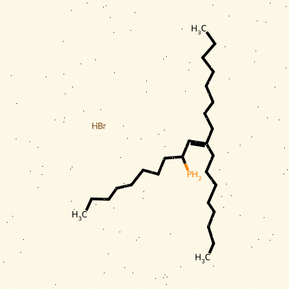 Br.CCCCCCCCC(=CC(P)CCCCCCCC)CCCCCCCC